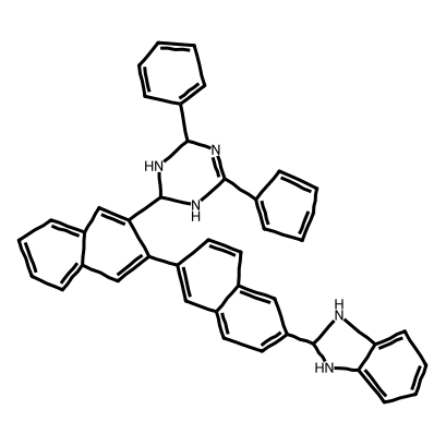 c1ccc(C2=NC(c3ccccc3)NC(c3cc4ccccc4cc3-c3ccc4cc(C5Nc6ccccc6N5)ccc4c3)N2)cc1